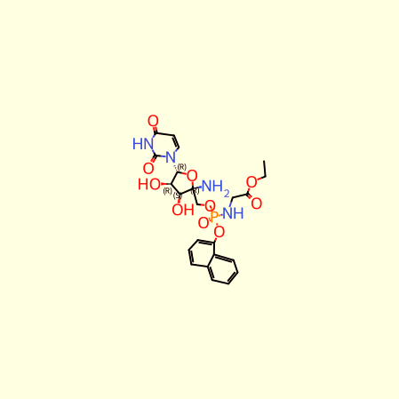 CCOC(=O)CNP(=O)(OC[C@@]1(N)O[C@@H](n2ccc(=O)[nH]c2=O)[C@H](O)[C@@H]1O)Oc1cccc2ccccc12